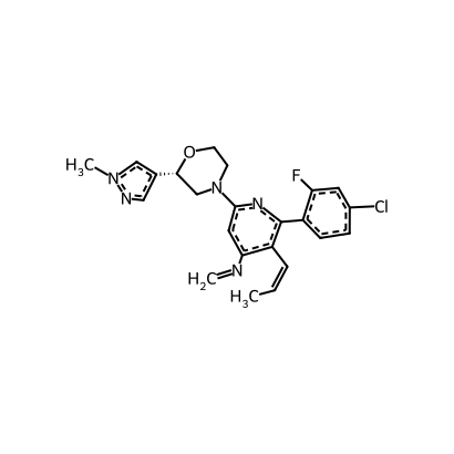 C=Nc1cc(N2CCO[C@@H](c3cnn(C)c3)C2)nc(-c2ccc(Cl)cc2F)c1/C=C\C